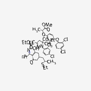 CCC/C(=N/OCC)C1=C(O)CC(CC(C)SCC)CC1=O.CCOC(=O)C1=NN(c2ccc(Cl)cc2Cl)C(C)(C(=O)OCC)C1.COC(=O)C(C)Oc1ccc(Oc2ccc(Cl)cc2Cl)cc1